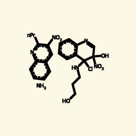 CCCc1nc2ccccc2cc1[N+](=O)[O-].N.O=[N+]([O-])C1(O)C=Nc2ccccc2C1(Cl)NCCCO